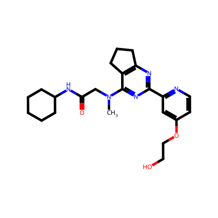 CN(CC(=O)NC1CCCCC1)c1nc(-c2cc(OCCO)ccn2)nc2c1CCC2